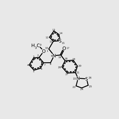 COc1ccccc1CN(Cc1cccs1)C(=O)c1ccc(N2CCCS2)cc1